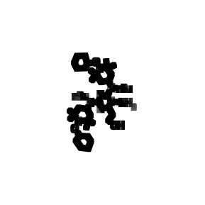 CCCCN(C1=NC(CCO)N(N)C(N(CCCC)C2CC(C)(C)N(OC3CCCCC3)C(C)(C)C2)=N1)C1CC(C)(C)N(OC2CCCCC2)C(C)(C)C1